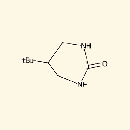 CC(C)(C)C1CNC(=O)NC1